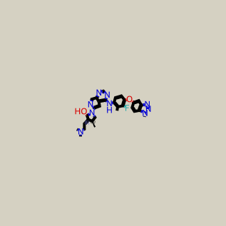 Cc1c(Nc2ncnc3cnc(N4C[C@@H](C)/C(=C\CN(C)C)C4O)cc23)ccc(Oc2ccc3c(c2)nnn3C)c1F